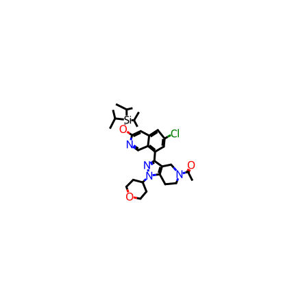 CC(=O)N1CCc2c(c(-c3cc(Cl)cc4cc(O[Si](C(C)C)(C(C)C)C(C)C)ncc34)nn2C2CCOCC2)C1